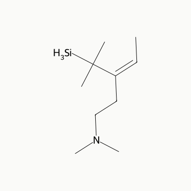 CC=C(CCN(C)C)C(C)(C)[SiH3]